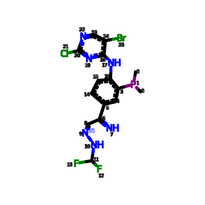 CP(C)c1cc(C(=N)/C=N\NC(F)F)ccc1Nc1nc(Cl)ncc1Br